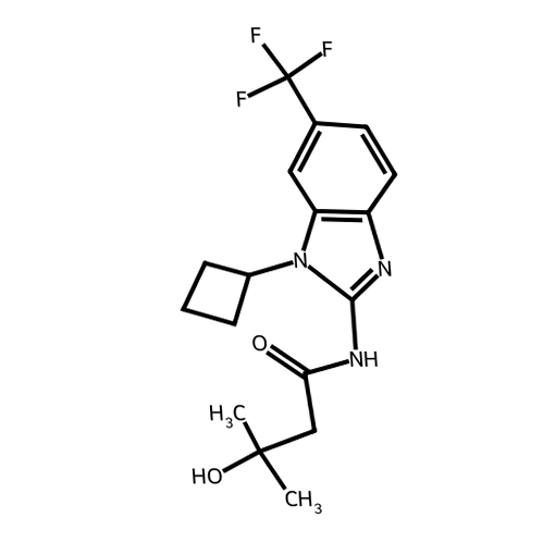 CC(C)(O)CC(=O)Nc1nc2ccc(C(F)(F)F)cc2n1C1CCC1